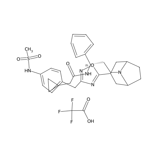 CS(=O)(=O)Nc1ccc(Cc2noc(C3CC4CCC(C3)N4CC[C@H](NC(=O)CC3CC3)c3ccccc3)n2)cc1.O=C(O)C(F)(F)F